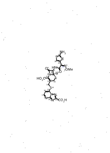 CO/N=C(\C(=O)N[C@@H]1C(=O)N2C(C(=O)O)=C(CSc3ccnc4nc(C(=O)O)nn34)CS[C@H]12)c1csc(N)n1